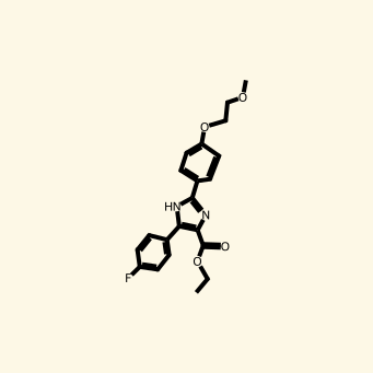 CCOC(=O)c1nc(-c2ccc(OCCOC)cc2)[nH]c1-c1ccc(F)cc1